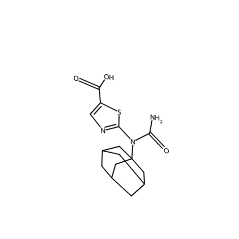 NC(=O)N(c1ncc(C(=O)O)s1)C12CC3CC(CC(C3)C1)C2